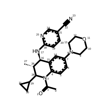 CC(=O)N1c2ccc(N3CCOCC3)cc2[C@H](Nc2ccc(C#N)cn2)[C@@H](C)C1C1CC1